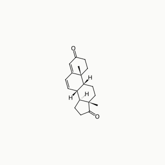 C[C@]12CCC(=O)C=C1C=C[C@@H]1[C@H]2CC[C@]2(C)C(=O)CC[C@@H]12